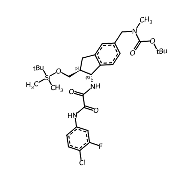 CN(Cc1ccc2c(c1)C[C@H](CO[Si](C)(C)C(C)(C)C)[C@H]2NC(=O)C(=O)Nc1ccc(Cl)c(F)c1)C(=O)OC(C)(C)C